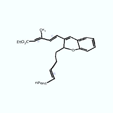 CCCCC/C=C/CCC1Oc2ccccc2C=C1/C=C/C(C)=C/C(=O)OCC